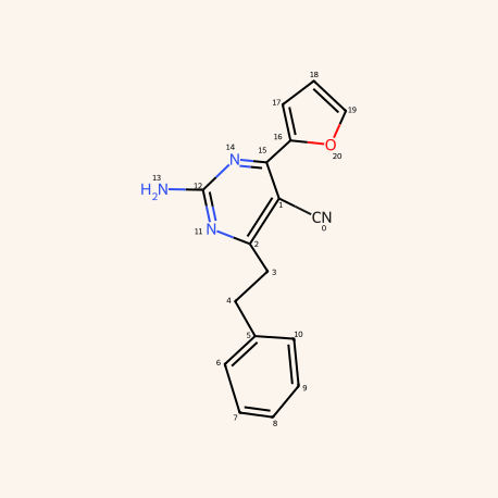 N#Cc1c(CCc2ccccc2)nc(N)nc1-c1ccco1